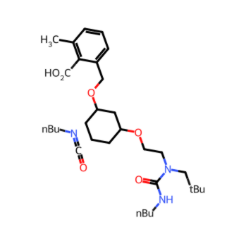 CCCCN=C=O.CCCCNC(=O)N(CCOC1CCCC(OCc2cccc(C)c2C(=O)O)C1)CC(C)(C)C